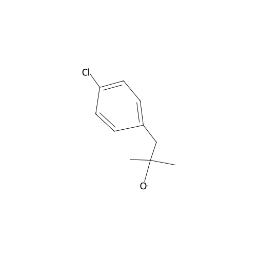 CC(C)([O])Cc1ccc(Cl)cc1